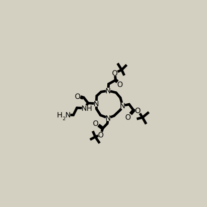 CC(C)(C)OC(=O)CN1CCN(CC(=O)OC(C)(C)C)CCN(C(C=O)NCCN)CCN(CC(=O)OC(C)(C)C)CC1